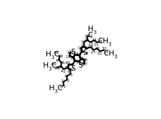 CCCCCCc1sc(-c2c3ccsc3c(-c3cc(CC(CC)CCCC)c(CCCCCC)s3)c3ccsc23)cc1CC(CC)CCCC